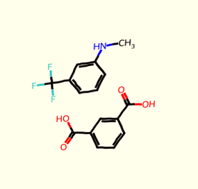 CNc1cccc(C(F)(F)F)c1.O=C(O)c1cccc(C(=O)O)c1